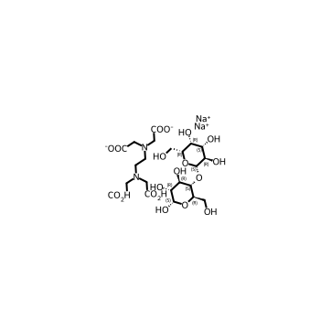 O=C([O-])CN(CCN(CC(=O)O)CC(=O)O)CC(=O)[O-].OC[C@H]1O[C@@H](O[C@H]2[C@H](O)[C@@H](O)[C@@H](O)O[C@@H]2CO)[C@H](O)[C@@H](O)[C@H]1O.[Na+].[Na+]